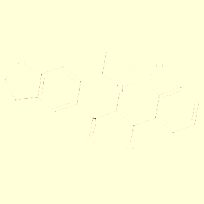 CCN1C(C(=O)c2ccc3c(c2)CCO3)=C(O)c2ccccc2S1(=O)=O